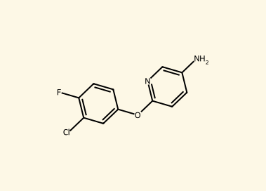 Nc1ccc(Oc2ccc(F)c(Cl)c2)nc1